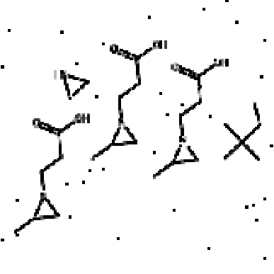 C1CN1.CC1CN1CCC(=O)O.CC1CN1CCC(=O)O.CC1CN1CCC(=O)O.CCC(C)(C)C